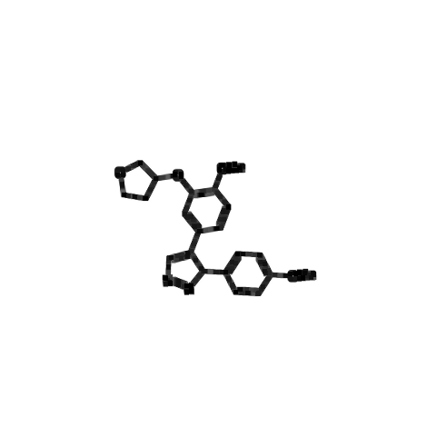 COc1ccc(C2N=NC=C2c2ccc(OC)c(OC3CCOC3)c2)cc1